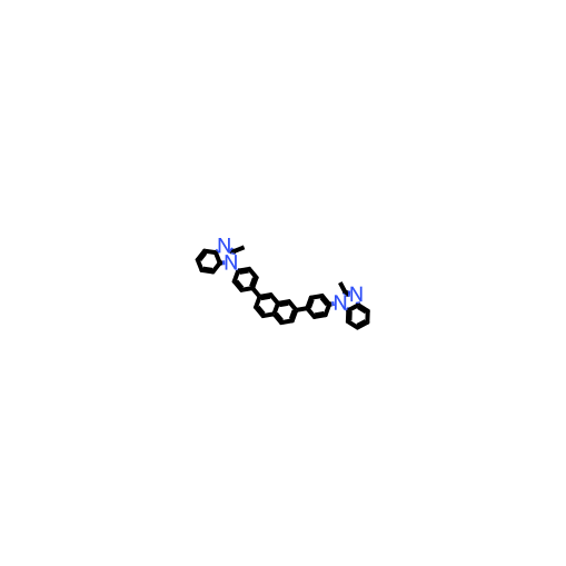 CC1=NC2C=CC=CC2N1c1ccc(-c2ccc3ccc(-c4ccc(-n5c(C)nc6ccccc65)cc4)cc3c2)cc1